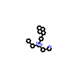 c1ccc(-c2cccc(-c3cc(-c4cccc(-c5cccnc5)c4)nc(-c4ccc(-c5ccc6ccc7cccc8ccc5c6c78)cc4)n3)c2)cc1